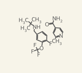 CC(C)(C)NCc1ccc(F)c(OC(F)(F)F)c1.Cc1cc(C(N)=O)ccn1